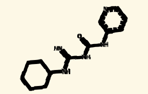 N=C(NC(=O)Nc1cccnc1)NC1CCCCC1